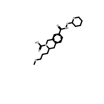 COCCCC1Cc2ccc(C(=O)NOC3CCCCO3)cc2CN1C(=O)O